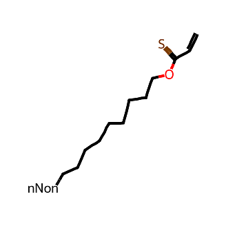 C=CC(=S)OCCCCCCCCCCCCCCCCCC